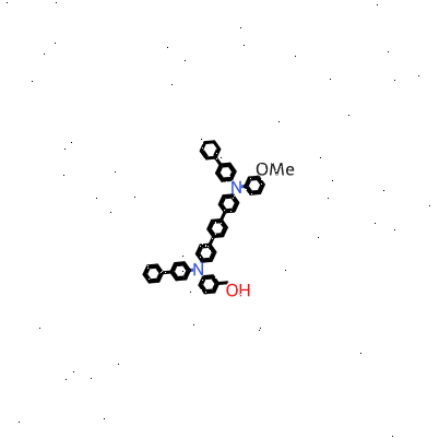 COc1cccc(N(c2ccc(C3=CCCC=C3)cc2)c2ccc(-c3ccc(-c4ccc(N(c5ccc(-c6ccccc6)cc5)c5cccc(CO)c5)cc4)cc3)cc2)c1